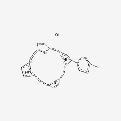 Cc1ccc(-c2cc3cc4nc(cc5ccc(cc6nc(cc2[nH]3)C=C6)[nH]5)C=C4)cc1.[Cu]